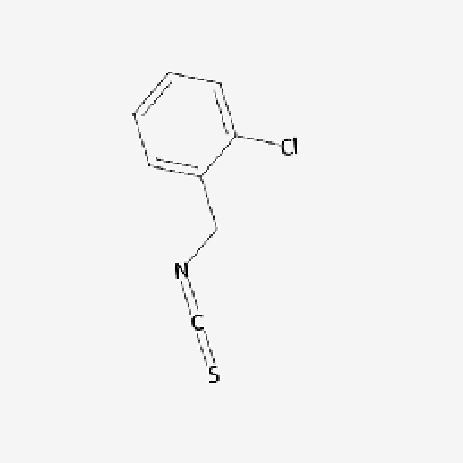 S=C=NCc1ccccc1Cl